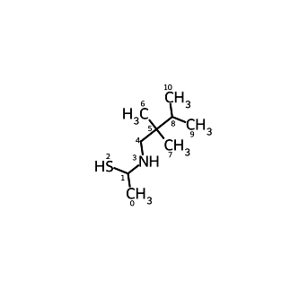 CC(S)NCC(C)(C)C(C)C